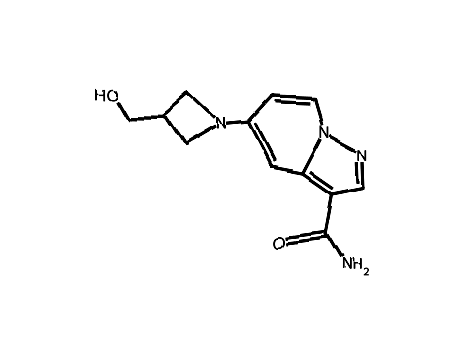 NC(=O)c1cnn2ccc(N3CC(CO)C3)cc12